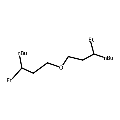 CCCCC(CC)CCOCCC(CC)CCCC